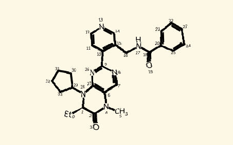 CC[C@@H]1C(=O)N(C)c2cnc(-c3ccncc3CNC(=O)c3ccccc3)nc2N1C1CCCC1